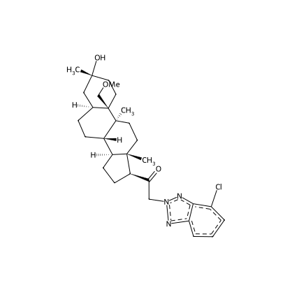 COC[C@]12CC[C@@](C)(O)C[C@@H]1CC[C@H]1[C@@H]3CC[C@H](C(=O)Cn4nc5cccc(Cl)c5n4)[C@@]3(C)CC[C@@]12C